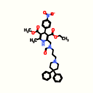 CCOC(=O)C1=C(CN(C=O)CCCN2CCC(c3ccccc3)(c3ccccc3)CC2)NC(C)=C(C(=O)OC)C1c1ccc([N+](=O)[O-])cc1